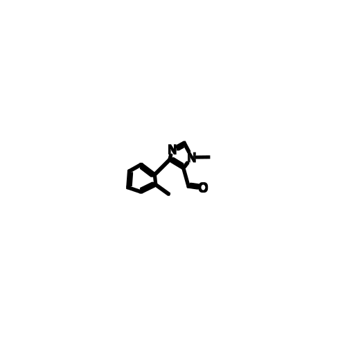 Cc1ccccc1-c1ncn(C)c1C=O